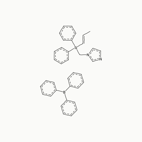 CC=C[Si](Cn1ccnc1)(c1ccccc1)c1ccccc1.c1ccc(B(c2ccccc2)c2ccccc2)cc1